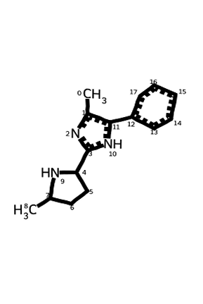 Cc1nc(C2CCC(C)N2)[nH]c1-c1ccccc1